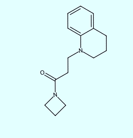 O=C(CCN1CCCc2ccccc21)N1CCC1